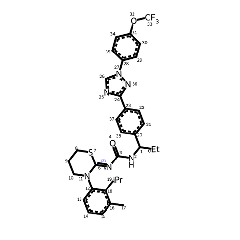 CCC(NC(=O)/N=C1\SCCCN1c1cccc(C)c1C(C)C)c1ccc(-c2ncn(-c3ccc(OC(F)(F)F)cc3)n2)cc1